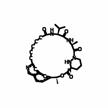 CC(C)[C@@H]1NC(=O)CCCCCc2cc3cc(ccc3cn2)[C@@H](C)OC(=O)[C@@H]2CCCN(N2)C(=O)[C@H](C)NC1=O